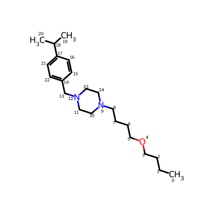 CCCCOCCCCN1CCN(Cc2ccc(C(C)C)cc2)CC1